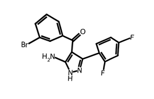 Nc1[nH]nc(-c2ccc(F)cc2F)c1C(=O)c1cccc(Br)c1